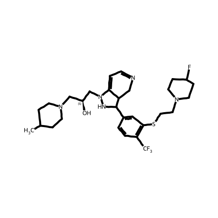 CC1CCN(C[C@H](O)CN2NC(c3ccc(C(F)(F)F)c(SCCN4CCC(F)CC4)c3)C3CN=CC=C32)CC1